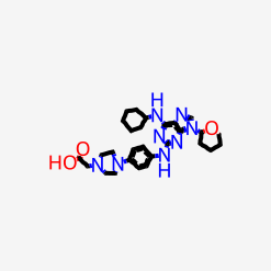 O=C(O)CN1CCN(c2ccc(Nc3nc(NC4CCCCC4)c4ncn(C5CCCCO5)c4n3)cc2)CC1